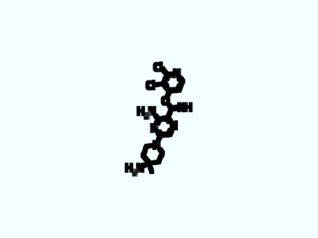 CC1(N)CCN(c2cnc(C(=N)Oc3ccnc(Cl)c3Cl)c(N)n2)CC1